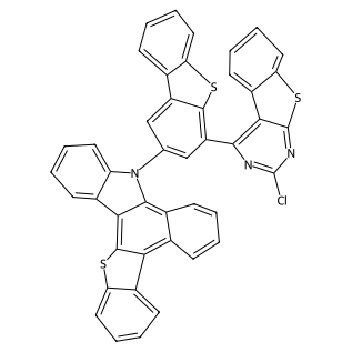 Clc1nc(-c2cc(-n3c4ccccc4c4c5sc6ccccc6c5c5ccccc5c43)cc3c2sc2ccccc23)c2c(n1)sc1ccccc12